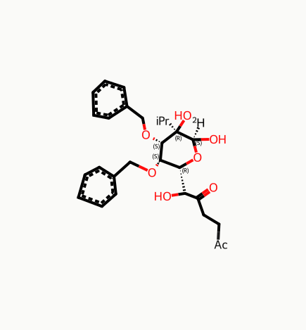 [2H][C@]1(O)O[C@H](C(O)C(=O)CCC(C)=O)[C@H](OCc2ccccc2)[C@H](OCc2ccccc2)[C@]1(O)C(C)C